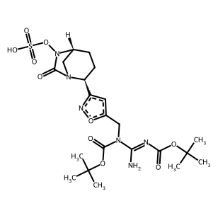 CC(C)(C)OC(=O)N=C(N)N(Cc1cc([C@@H]2CC[C@@H]3CN2C(=O)N3OS(=O)(=O)O)no1)C(=O)OC(C)(C)C